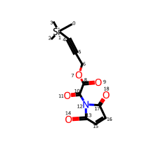 C[Si](C)(C)C#CCOC(=O)C(=O)N1C(=O)C=CC1=O